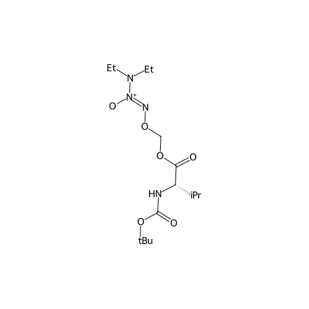 CCN(CC)/[N+]([O-])=N/OCOC(=O)[C@@H](NC(=O)OC(C)(C)C)C(C)C